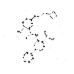 O=C(Nc1cc(-c2ccccc2)ccc1C(=O)O)c1cc(OCCN2CCC2)ccc1O